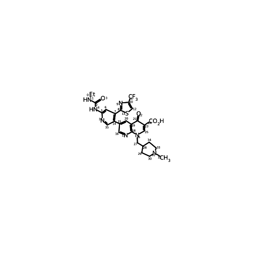 CCNC(=O)Nc1cc(-c2nc(C(F)(F)F)cs2)c(-c2cnc3c(c2)c(=O)c(C(=O)O)cn3CC2CCN(C)CC2)cn1